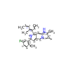 C=C/C(=C(C)\C=C/C)c1nc(-c2cc(F)ccc2C)cc2cnc(NC(=C)C3CC3)cc12